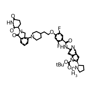 CN1CCC[C@@H]1c1cc2cnc(NC(=O)c3cc(F)c(OCCC4CCN(c5cccc6c5CN(C5CCC(=O)NC5=O)C6=O)CC4)cc3F)cc2n1C(=O)OC(C)(C)C